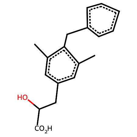 Cc1cc(CC(O)C(=O)O)cc(C)c1Cc1ccccc1